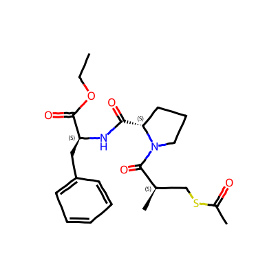 CCOC(=O)[C@H](Cc1ccccc1)NC(=O)[C@@H]1CCCN1C(=O)[C@H](C)CSC(C)=O